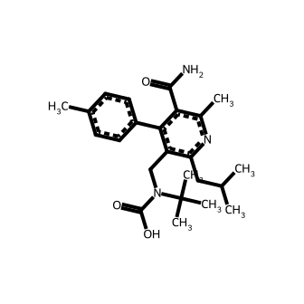 Cc1ccc(-c2c(CN(C(=O)O)C(C)(C)C)c(CC(C)C)nc(C)c2C(N)=O)cc1